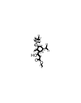 CCOC(=O)/C=C(\O)C1=C(C)C(O[Si](C)(C)C(C)(C)C)C[C@@H](C(C)C)C1